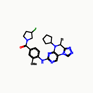 CCC1c2nncn2-c2cnc(Nc3ccc(C(=O)N4CCC(F)C4)cc3OC)nc2N1C1CCCC1